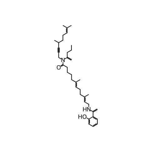 C=C(NC/C=C(\C)CC/C=C(\C)CCCCC(=O)N(CC#CC(C)CCC=C(C)C)C(=C)CCC)c1ccccc1O